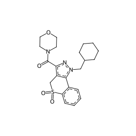 O=C(c1nn(CC2CCCCC2)c2c1CS(=O)(=O)c1ccccc1-2)N1CCOCC1